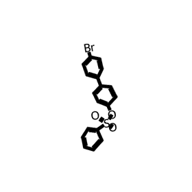 O=S(=O)(Oc1ccc(-c2ccc(Br)cc2)cc1)c1ccccc1